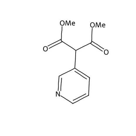 COC(=O)C(C(=O)OC)c1cccnc1